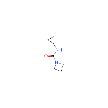 O=C(NC1CC1)N1CCC1